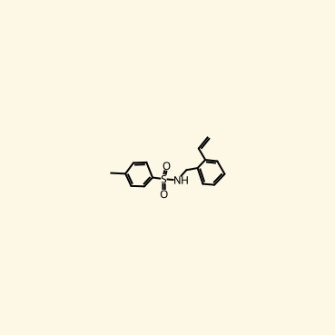 C=Cc1ccccc1CNS(=O)(=O)c1ccc(C)cc1